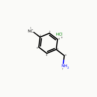 Cl.N#Cc1ccc(CN)cc1